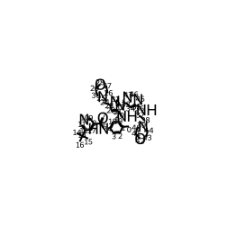 Cc1ccc(NC(=O)c2cncc(C(C)(C)C)c2)cc1Nc1cc(CN2CCOCC2)nn1-c1cc(NCCN2CCOCC2)ncn1